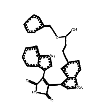 O=C1NC(=O)C(c2c[nH]c3ccc(CCC(O)OCc4ccccc4)cc23)=C1c1c[nH]c2ccccc12